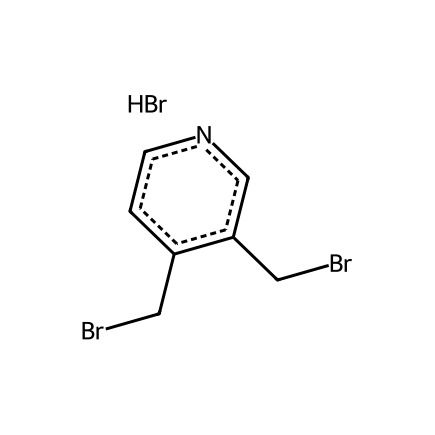 Br.BrCc1ccncc1CBr